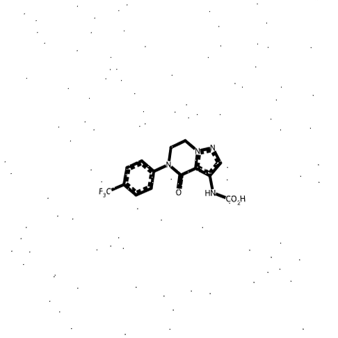 O=C(O)Nc1cnn2c1C(=O)N(c1ccc(C(F)(F)F)cc1)CC2